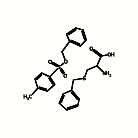 Cc1ccc(S(=O)(=O)OCc2ccccc2)cc1.NC(CSCc1ccccc1)C(=O)O